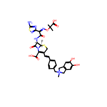 CC(C)(O/N=C(\C(=O)N[C@@H]1C(=O)N2C(C(=O)O)=C(/C=C/c3ccc(C[N+]4(C)Cc5cc(O)c(O)cc5C4)cc3)CS[C@H]12)c1nsc(N)n1)C(=O)O